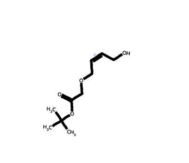 CC(C)(C)OC(=O)COC/C=C\CO